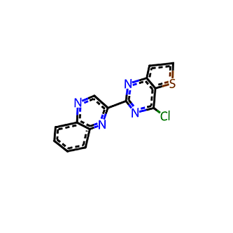 Clc1nc(-c2cnc3ccccc3n2)nc2ccsc12